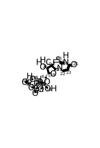 CC1(F)[C@@H](O)[C@@H](COP(=O)(O)OP(=O)(O)O[PH](=O)O)O[C@H]1n1ccc(=O)[nH]c1=S